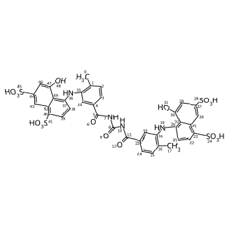 Cc1ccc(C(=O)NC(=O)NC(=O)c2ccc(C)c(Nc3ccc(S(=O)(=O)O)c4cc(S(=O)(=O)O)cc(O)c34)c2)cc1Nc1ccc(S(=O)(=O)O)c2cc(S(=O)(=O)O)cc(O)c12